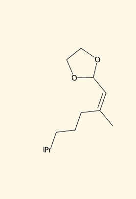 CC(=CC1OCCO1)CCCC(C)C